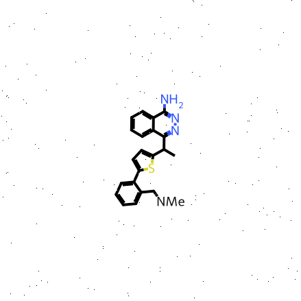 CNCc1ccccc1-c1ccc(C(C)c2nnc(N)c3ccccc23)s1